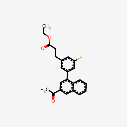 CCOC(=O)CCc1cc(F)cc(-c2cc(C(C)=O)cc3ccccc23)c1